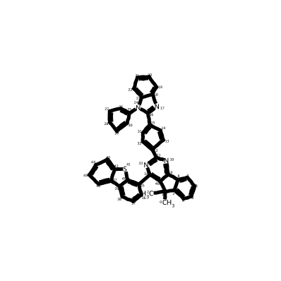 CC1(C)c2ccccc2-c2nc(-c3ccc(-c4nc5ccccc5n4-c4ccccc4)cc3)nc(-c3cccc4c3sc3ccccc34)c21